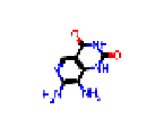 Nc1ncc2c(=O)[nH]c(=O)[nH]c2c1N